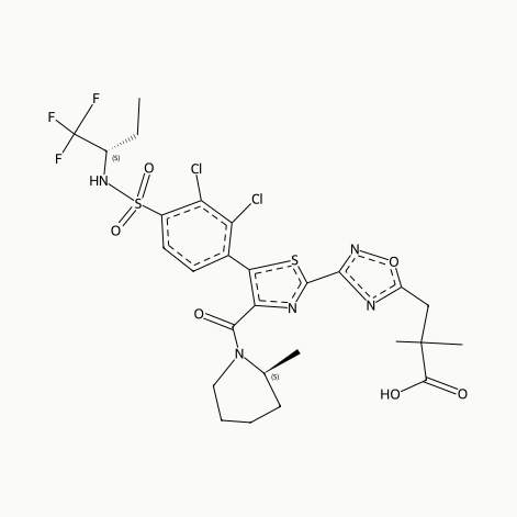 CC[C@H](NS(=O)(=O)c1ccc(-c2sc(-c3noc(CC(C)(C)C(=O)O)n3)nc2C(=O)N2CCCC[C@@H]2C)c(Cl)c1Cl)C(F)(F)F